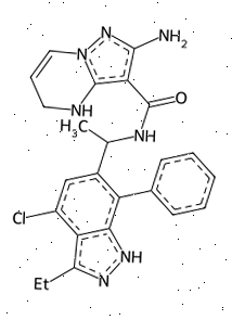 CCc1n[nH]c2c(-c3ccccc3)c(C(C)NC(=O)c3c(N)nn4c3NCC=C4)cc(Cl)c12